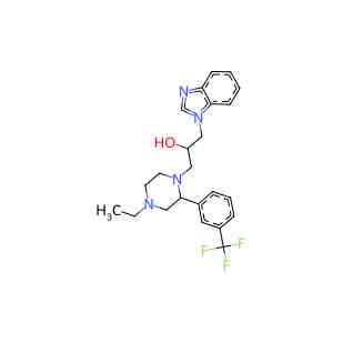 CCN1CCN(CC(O)Cn2cnc3ccccc32)C(c2cccc(C(F)(F)F)c2)C1